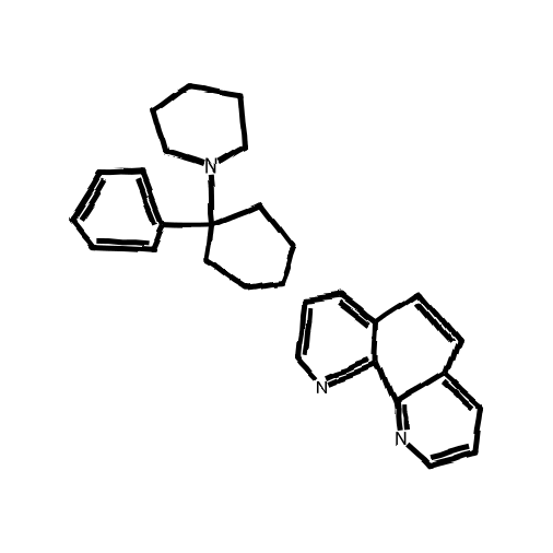 c1ccc(C2(N3CCCCC3)CCCCC2)cc1.c1cnc2c(c1)ccc1cccnc12